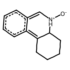 [O-][NH+]1C=c2ccccc2=C2CCCCC21